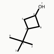 CC(C)(C)C1CC(O)C1